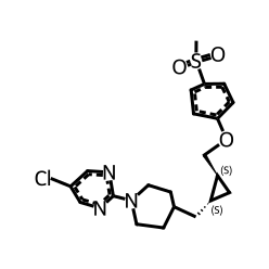 CS(=O)(=O)c1ccc(OC[C@H]2C[C@@H]2CC2CCN(c3ncc(Cl)cn3)CC2)cc1